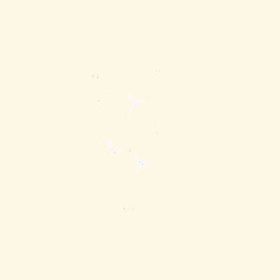 CSCCNc1ncc(Cl)c(N(/C(=C\C=O)CN=O)c2c(Cl)cccc2Cl)c1C